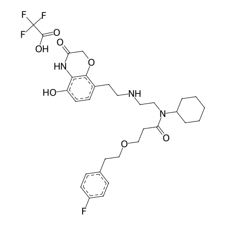 O=C(O)C(F)(F)F.O=C1COc2c(CCNCCN(C(=O)CCOCCc3ccc(F)cc3)C3CCCCC3)ccc(O)c2N1